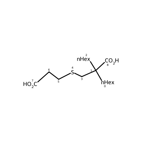 CCCCCCC(CCCCCC)(CSCCC(=O)O)C(=O)O